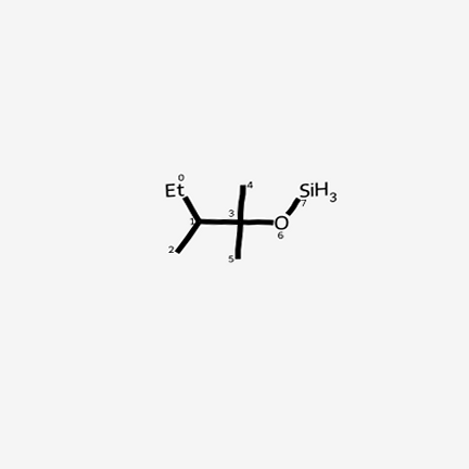 CCC(C)C(C)(C)O[SiH3]